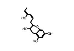 C/C=C(O)\C=C/CC1Oc2cc(O)cc(O)c2CC1O